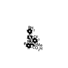 COc1ccc(C(F)(F)F)cc1N1C(N2CCN(c3ccc(P)cc3)CC2)=Nc2c(F)cccc2C1CC(=O)O